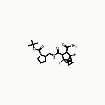 CC(C)(C)OC(=O)N1CCCC1CNC(=O)C1C(C(N)=O)[C@@H]2C=C[C@H]1C21CC1